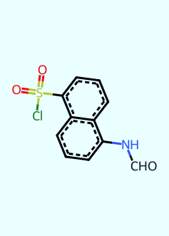 O=CNc1cccc2c(S(=O)(=O)Cl)cccc12